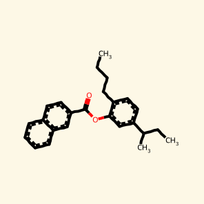 CCCCc1ccc(C(C)CC)cc1OC(=O)c1ccc2ccccc2c1